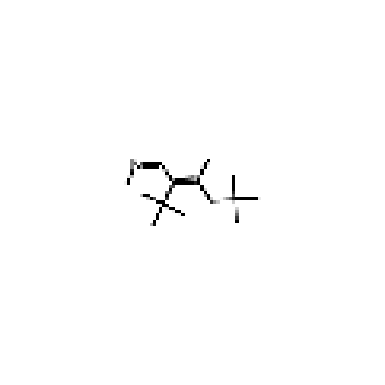 C/N=C\C(=C(/C)CC(C)(C)C)C(C)(C)C